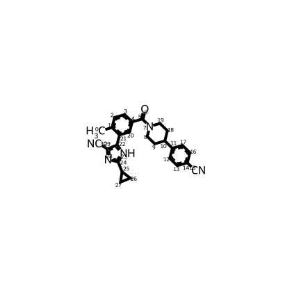 Cc1ccc(C(=O)N2CCC(c3ccc(C#N)cc3)CC2)cc1-c1[nH]c(C2CC2)nc1C#N